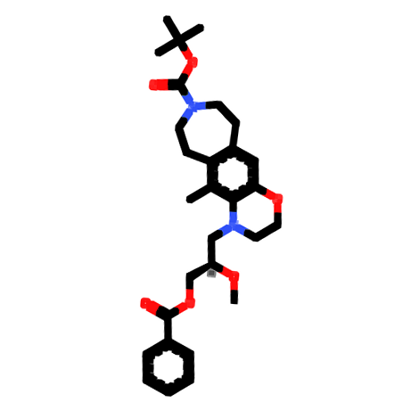 CO[C@@H](COC(=O)c1ccccc1)CN1CCOc2cc3c(c(C)c21)CCN(C(=O)OC(C)(C)C)CC3